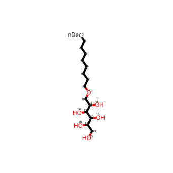 CCCCCCCCCCCCCCCCCCOCC(O)C(O)C(O)C(O)CO